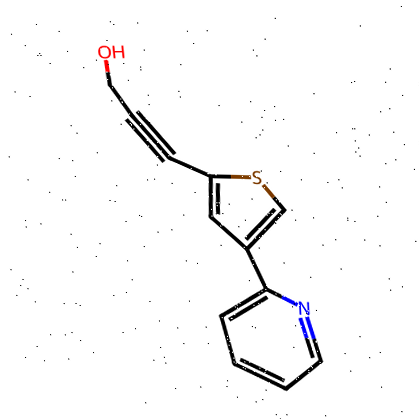 OCC#Cc1cc(-c2ccccn2)cs1